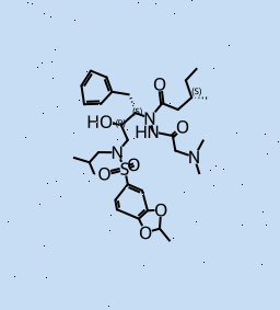 CC[C@H](C)CC(=O)N(NC(=O)CN(C)C)[C@@H](Cc1ccccc1)[C@H](O)CN(CC(C)C)S(=O)(=O)c1ccc2c(c1)OC(C)O2